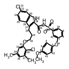 COc1ccc(Oc2cccc(S(=O)(=O)NC(=O)c3[nH]c4cc(Cl)ccc4c3CCCOc3cc(C)cc(C)c3Cl)c2)cc1